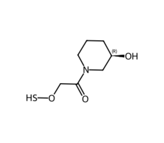 O=C(COS)N1CCC[C@@H](O)C1